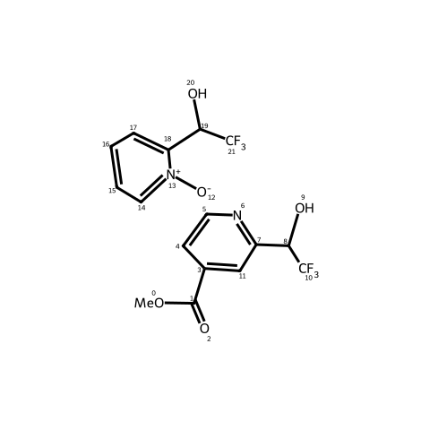 COC(=O)c1ccnc(C(O)C(F)(F)F)c1.[O-][n+]1ccccc1C(O)C(F)(F)F